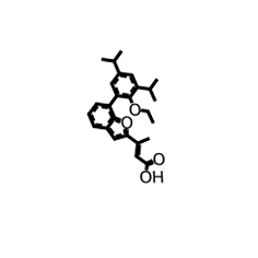 CCOc1c(-c2cccc3cc(/C(C)=C/C(=O)O)oc23)cc(C(C)C)cc1C(C)C